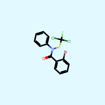 O=C(c1ccccc1Br)N(SC(F)(Cl)Cl)c1ccccc1